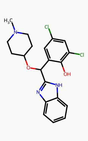 CN1CCC(OC(c2nc3ccccc3[nH]2)c2cc(Cl)cc(Cl)c2O)CC1